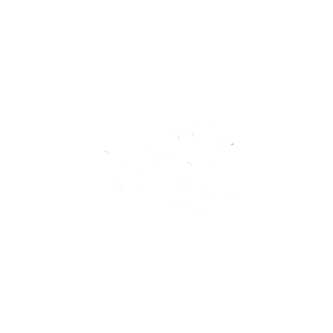 COC(C)N(C)C(=O)C(C#N)C(=O)C(C)Oc1cc(Oc2ccc3cc(C(F)(F)F)ccc3c2)ccc1[N+](=O)[O-]